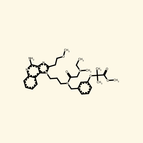 CCN(C)CC(=O)N(CCCn1c(CCOC)nc2c(N)nc3ccccc3c21)Cc1cccc(OC(C)(C)C(=O)OC)c1